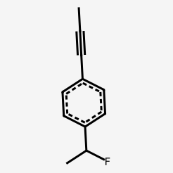 CC#Cc1ccc(C(C)F)cc1